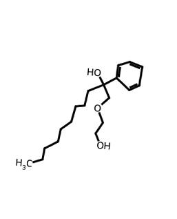 CCCCCCCCCC(O)(COCCO)c1ccccc1